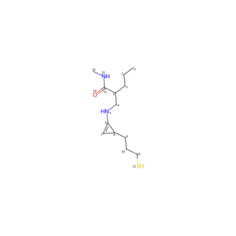 CCCC(CNC1=CC1CCCS)C(=O)NC